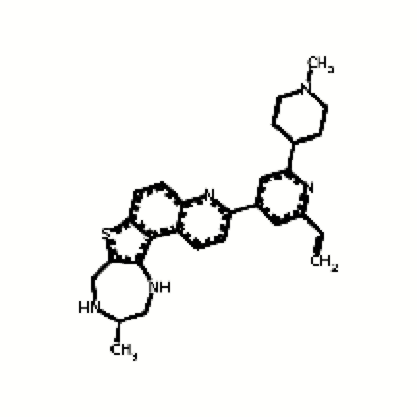 C=Cc1cc(-c2ccc3c(ccc4sc5c(c43)NC[C@@H](C)NC5)n2)cc(C2CCN(C)CC2)n1